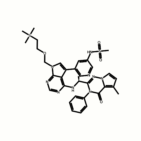 Cc1ccn2nc([C@H](C)Nc3ncnc4c3c(-c3cncc(NS(C)(=O)=O)c3)cn4COCC[Si](C)(C)C)n(-c3ccccc3)c(=O)c12